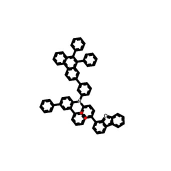 c1ccc(-c2ccc(N(c3ccc(-c4cccc5c4oc4ccccc45)cc3)c3cccc(-c4ccc5c(c4)c(-c4ccccc4)c(-c4ccccc4)c4ccccc45)c3)c(-c3ccccc3)c2)cc1